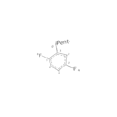 CCC[C](C)c1cc(F)ccc1F